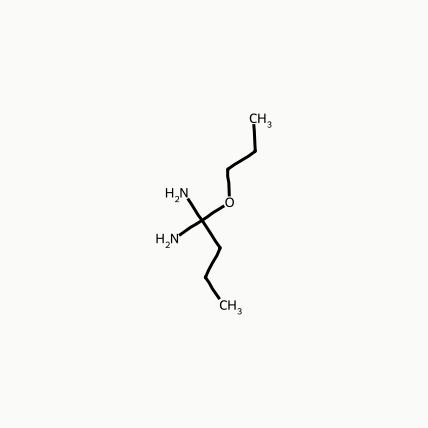 CCCOC(N)(N)CCC